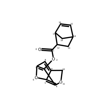 O=C(Oc1c2c3oc1cc3CO2)C1CC2C=CC1C2